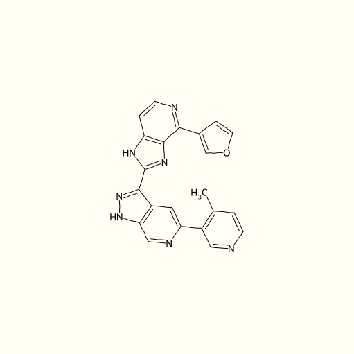 Cc1ccncc1-c1cc2c(-c3nc4c(-c5ccoc5)nccc4[nH]3)n[nH]c2cn1